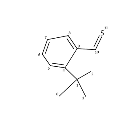 CC(C)(C)c1ccccc1C=S